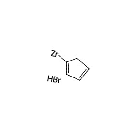 Br.[Zr][C]1=CC=CC1